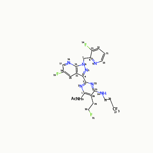 CC(=O)Nc1nc(-c2nn(Cc3ncccc3F)c3ncc(F)cc23)nc(NCCC(F)(F)F)c1CCF